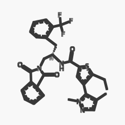 CCc1sc(C(=O)N[C@@H](Cc2ccccc2C(F)(F)F)CN2C(=O)c3ccccc3C2=O)cc1-c1c(C)cnn1C